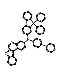 c1ccc(-c2ccc(N(c3ccc4c(c3)C(c3ccccc3)(c3ccccc3)c3ccccc3-4)c3ccc4c(c3)ncc3oc5ccccc5c34)cc2)cc1